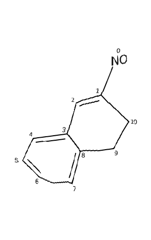 O=NC1=Cc2ccccc2CC1